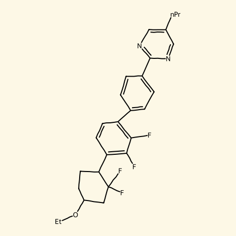 CCCc1cnc(-c2ccc(-c3ccc(C4CCC(OCC)CC4(F)F)c(F)c3F)cc2)nc1